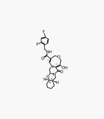 O=C(NCc1ccc(F)cc1F)/C1=C/N2CC3O[C@H]4CCCC[C@H]4CN3C(=O)/C2=C(\O)COC1